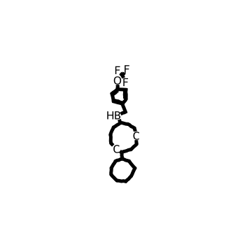 FC(F)(F)Oc1ccc(CBC2CCCCCC(C3CCCCCCCC3)CCCC2)cc1